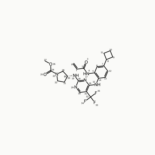 C=CC(=O)Nc1cc(C2CCC2)ccc1Nc1nc(N[C@@H]2CCN(C(=O)OC)C2)ncc1C(F)(F)F